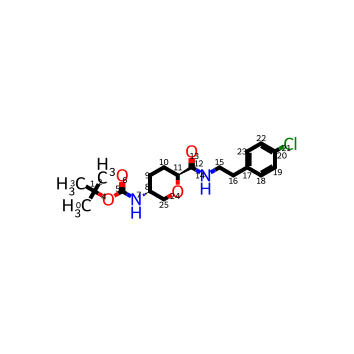 CC(C)(C)OC(=O)N[C@@H]1CC[C@@H](C(=O)NCCc2ccc(Cl)cc2)OC1